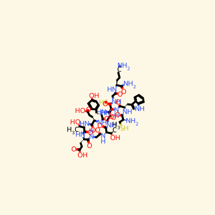 C[C@@H](O)[C@H](NC(=O)CNC(=O)[C@H](CCC(=O)O)NC(=O)[C@@H](NC(=O)[C@H](CCC(=O)O)NC(=O)[C@H](Cc1ccc(O)cc1)NC(=O)[C@H](CS)NC(=O)[C@H](Cc1c[nH]c2ccccc12)NC(=O)[C@@H](N)CS)[C@@H](C)O)C(=O)NCC(=O)NCC(=O)NCC(=O)N[C@@H](CCCCN)C(N)=O